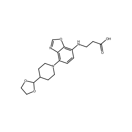 O=C(O)CCNc1ccc(N2CCC(C3OCCO3)CC2)c2ncoc12